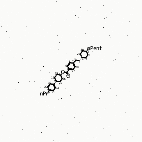 CCCCC[C@H]1CC[C@H](CCc2ccc(C(=O)O[C@H]3CC[C@H](c4ccc(CCC)cc4)CC3)cc2)CC1